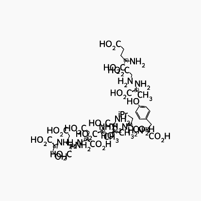 CC(C)C[C@H](N)C(=O)O.C[C@@H](O)[C@H](N)C(=O)O.C[C@H](N)C(=O)O.C[C@H](N)C(=O)O.NCC(=O)O.N[C@@H](CC(=O)O)C(=O)O.N[C@@H](CCC(=O)O)C(=O)O.N[C@@H](CCC(=O)O)C(=O)O.N[C@@H](CO)C(=O)O.N[C@@H](Cc1ccc(O)cc1)C(=O)O